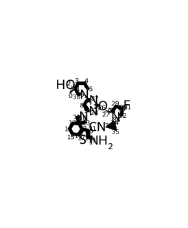 C[C@@]1(O)CCCN(c2cc(N3CC4(CCCc5sc(N)c(C#N)c54)C3)nc(OC[C@@H]3C[C@@H](F)CN3C3CC3)n2)C1